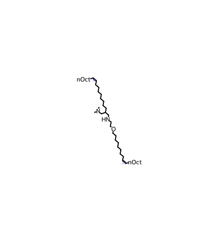 CCCCCCCC/C=C\CCCCCCCCOCCNCC(CCCCCCCC/C=C\CCCCCCCC)CN(C)C